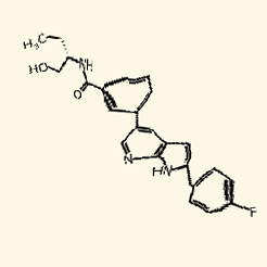 CC[C@@H](CO)NC(=O)c1cccc(-c2cnc3[nH]c(-c4ccc(F)cc4)cc3c2)c1